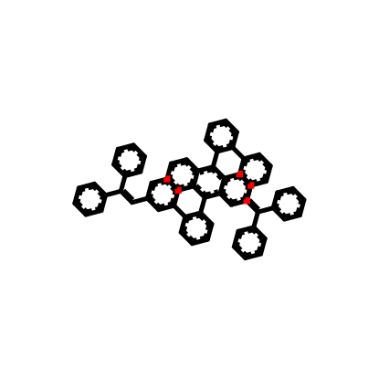 C(=C(c1ccccc1)c1ccccc1)c1cccc(-c2ccccc2-c2c3ccccc3c(-c3ccccc3-c3cccc(C=C(c4ccccc4)c4ccccc4)c3)c3ccccc23)c1